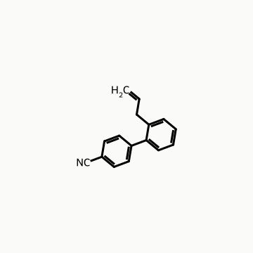 C=CCc1ccccc1-c1ccc(C#N)cc1